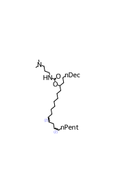 CCCCC/C=C\C/C=C\CCCCCCCC(CCCCCCCCCCCC)OC(=O)NCCCN(C)C